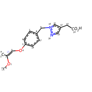 CCO/C(=C\Oc1ccc(Cn2cc(CC(=O)O)cn2)cc1)C(F)(F)F